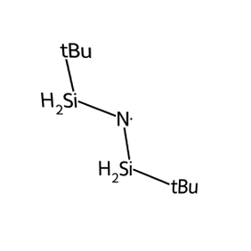 CC(C)(C)[SiH2][N][SiH2]C(C)(C)C